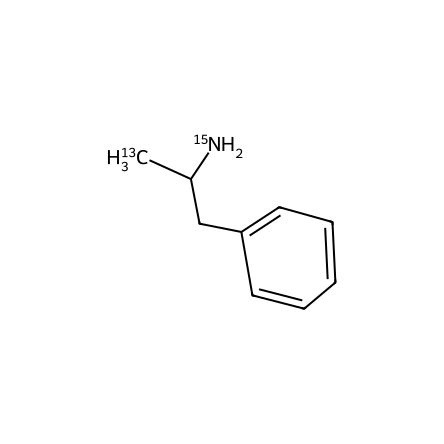 [13CH3]C([15NH2])Cc1ccccc1